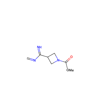 C=NC(=N)C1CN(C(=O)OC)C1